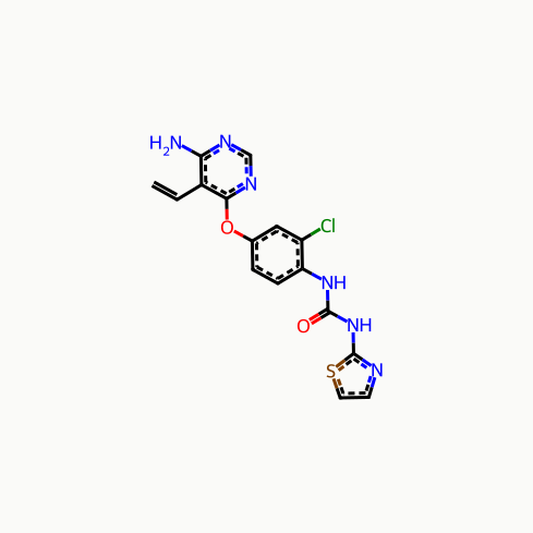 C=Cc1c(N)ncnc1Oc1ccc(NC(=O)Nc2nccs2)c(Cl)c1